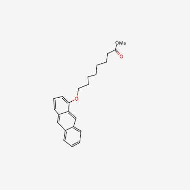 COC(=O)CCCCCCCOc1cccc2cc3ccccc3cc12